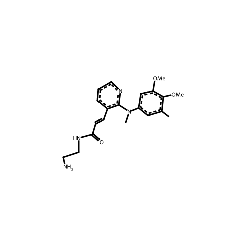 COc1cc(N(C)c2ncccc2/C=C/C(=O)NCCN)cc(C)c1OC